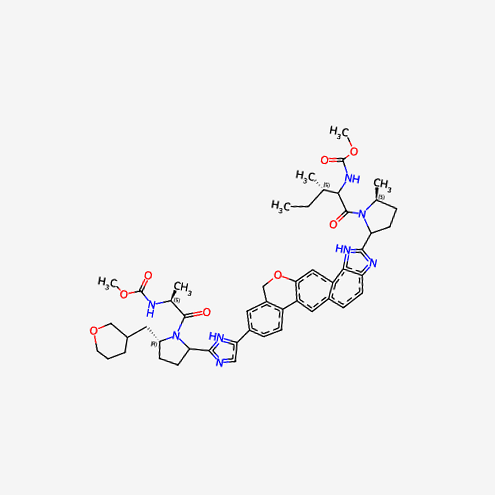 CC[C@H](C)C(NC(=O)OC)C(=O)N1C(c2nc3ccc4cc5c(cc4c3[nH]2)OCc2cc(-c3cnc(C4CC[C@H](CC6CCCOC6)N4C(=O)[C@H](C)NC(=O)OC)[nH]3)ccc2-5)CC[C@@H]1C